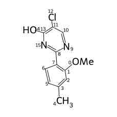 COc1cc(C)ccc1-c1ncc(Cl)c(O)n1